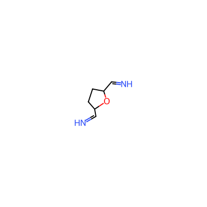 N=CC1CCC(C=N)O1